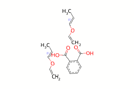 C=CO/C=C/C.C=CO/C=C/C.O=C(O)c1ccccc1C(=O)O